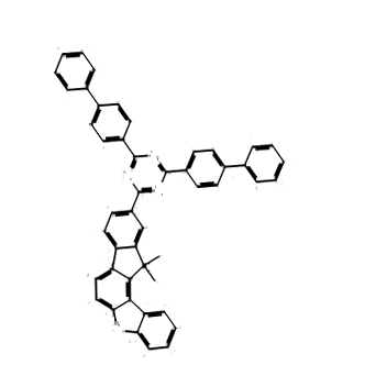 CC1(C)c2cc(-c3nc(-c4ccc(-c5ccccc5)cc4)nc(-c4ccc(-c5ccccc5)cc4)n3)ccc2-c2ccc3oc4ccccc4c3c21